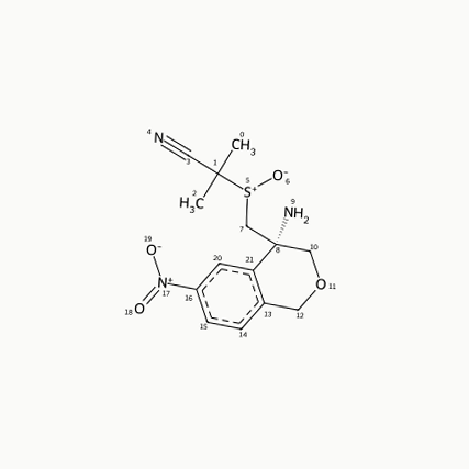 CC(C)(C#N)[S+]([O-])C[C@@]1(N)COCc2ccc([N+](=O)[O-])cc21